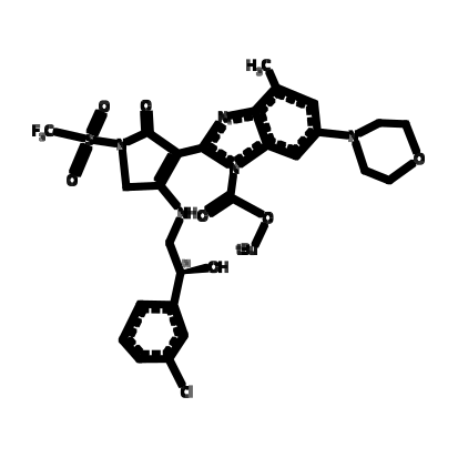 Cc1cc(N2CCOCC2)cc2c1nc(C1=C(NC[C@@H](O)c3cccc(Cl)c3)CN(S(=O)(=O)C(F)(F)F)C1=O)n2C(=O)OC(C)(C)C